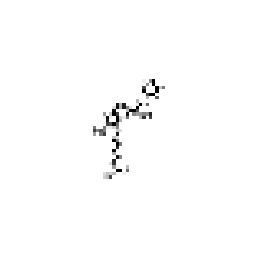 O=C(O)CCCC=CC[C@@H]1[C@@H](CCC(O)CCc2ccccc2)[C@H](O)C[C@@H]1O